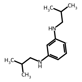 CC(C)CNc1[c]ccc(NCC(C)C)c1